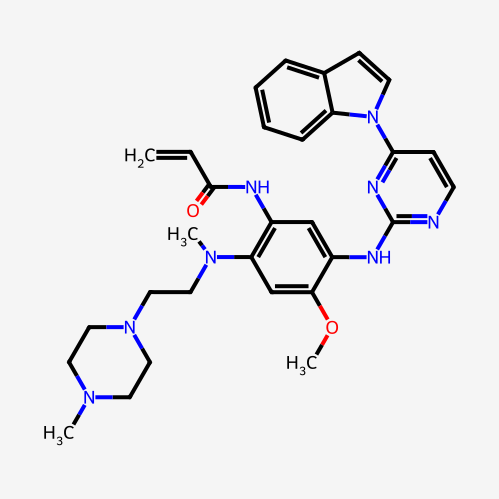 C=CC(=O)Nc1cc(Nc2nccc(-n3ccc4ccccc43)n2)c(OC)cc1N(C)CCN1CCN(C)CC1